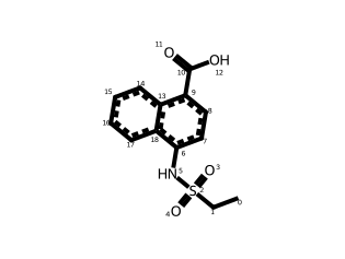 CCS(=O)(=O)Nc1ccc(C(=O)O)c2ccccc12